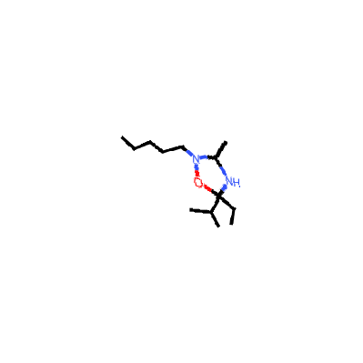 CCCCCN1OC(CC)(C(C)C)NC1C